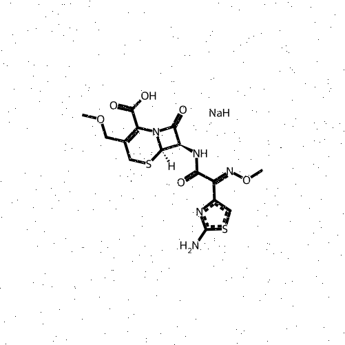 COCC1=C(C(=O)O)N2C(=O)[C@@H](NC(=O)C(=NOC)c3csc(N)n3)[C@H]2SC1.[NaH]